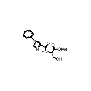 COC(=O)[C@H](CO)NC(=O)c1cn(-c2ccccc2)cn1